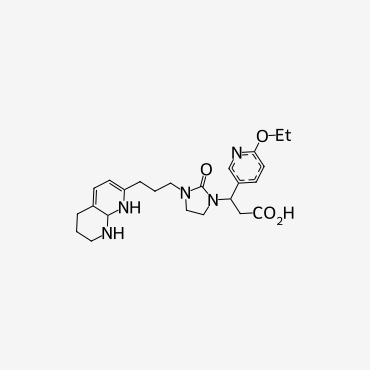 CCOc1ccc(C(CC(=O)O)N2CCN(CCCC3=CC=C4CCCNC4N3)C2=O)cn1